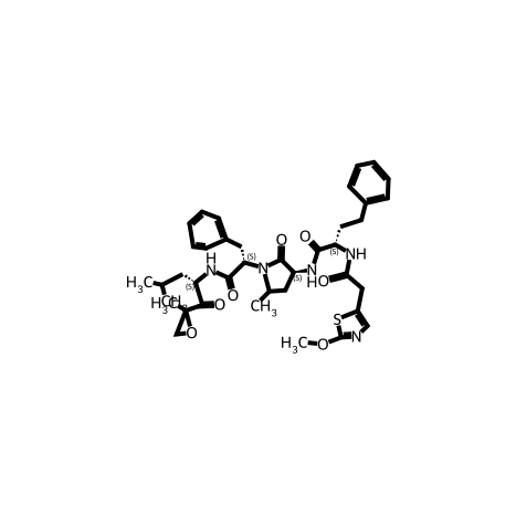 COc1ncc(CC(=O)N[C@@H](CCc2ccccc2)C(=O)N[C@H]2CC(C)N([C@@H](Cc3ccccc3)C(=O)N[C@@H](CC(C)C)C(=O)C3(C)CO3)C2=O)s1